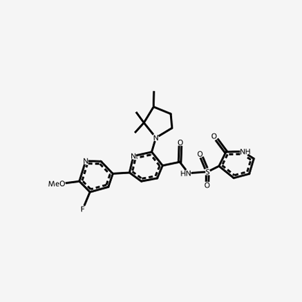 COc1ncc(-c2ccc(C(=O)NS(=O)(=O)c3ccc[nH]c3=O)c(N3CCC(C)C3(C)C)n2)cc1F